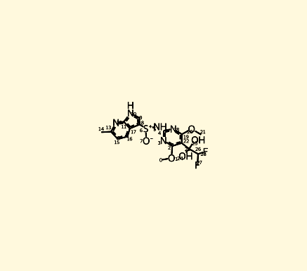 COc1nc(N[S+]([O-])c2c[nH]c3nc(C)ccc23)nc(OC)c1C(O)(O)C(F)F